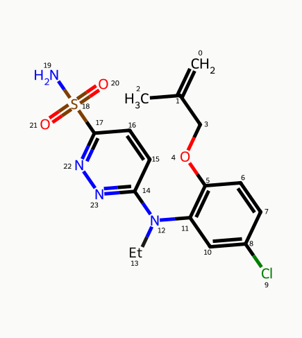 C=C(C)COc1ccc(Cl)cc1N(CC)c1ccc(S(N)(=O)=O)nn1